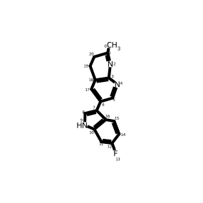 CC1=Nc2ncc(-c3c[nH]c4cc(F)ccc34)cc2CC1